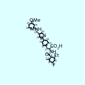 CCc1cc(F)cc(C)c1C(=O)NC(Cc1ccc(-n2cc(CNc3cc(OC)ccn3)cn2)cc1)C(=O)O